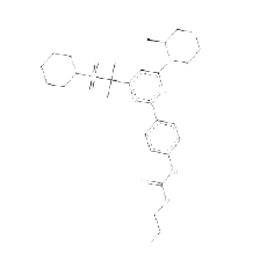 C[C@H]1COCCN1c1cc(C(C)(C)S(=O)(=O)C2CCCCC2)nc(-c2ccc(NC(=O)NCCO)cc2)n1